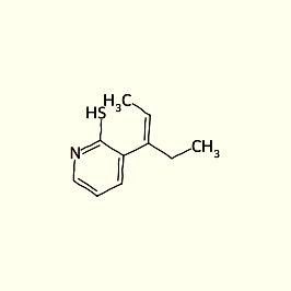 C/C=C(/CC)c1cccnc1S